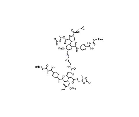 C=Cc1cc(C(=O)Nc2ccc(C(=N)NC(=O)OCCCCCC)cc2)c(-c2ccc(C(=O)NCC3CC3/C=C/c3cc(C(=O)Nc4ccc(C(=N)NC(=O)OCCCCCC)cc4)c(-c4ccc(C(=O)NCC5CC5)nc4C(=O)OC(C)OC(=O)C(C)C)cc3OC)nc2C(=O)OCc2oc(=O)oc2C)cc1OC